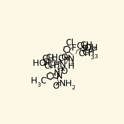 Cc1ccc2c(c1)c(C(N)=O)nn2CC(=O)N(CC(=O)N[C@@H](CCC(C)(C)[Si](C)(C)O)c1cccc(Cl)c1F)[C@H](C)CCC(C)(C)[Si](C)(C)O